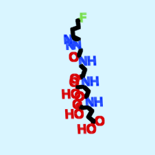 O=C(O)CCC(NC(=O)CC(NC(=O)CCNC(=O)Cn1cc(CCCF)nn1)C(=O)O)C(=O)O